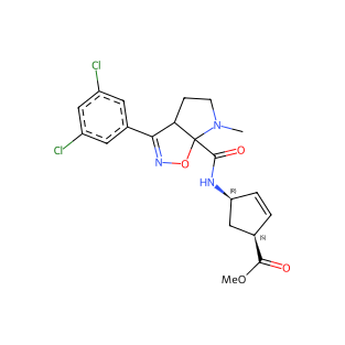 COC(=O)[C@@H]1C=C[C@H](NC(=O)C23ON=C(c4cc(Cl)cc(Cl)c4)C2CCN3C)C1